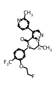 Cc1cc(-c2cnn3c2C(=O)N(c2ccc(C(F)(F)F)c(OCCF)c2)C[C@@H]3C)ccn1